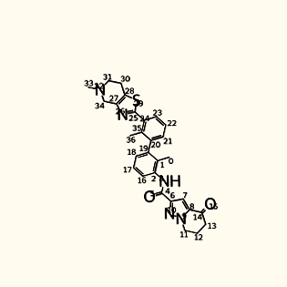 Cc1c(NC(=O)c2cc3n(n2)CCCC3=O)cccc1-c1cccc(-c2nc3c(s2)CCN(C)C3)c1C